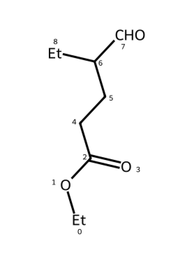 CCOC(=O)CCC(C=O)CC